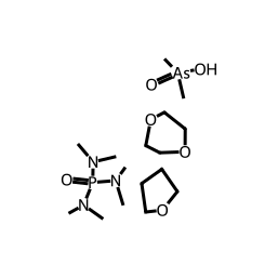 C1CCOC1.C1COCCO1.CN(C)P(=O)(N(C)C)N(C)C.C[As](C)(=O)O